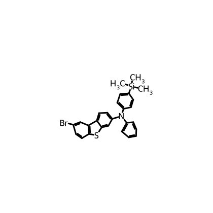 C[Si](C)(C)c1ccc(N(c2ccccc2)c2ccc3c(c2)sc2ccc(Br)cc23)cc1